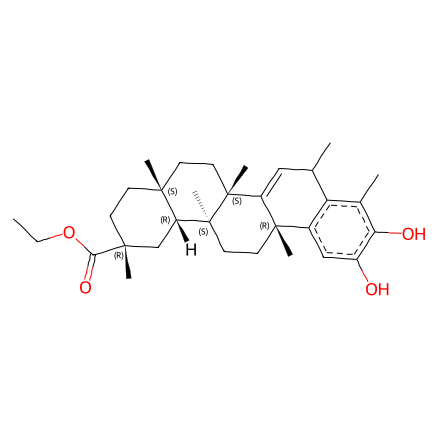 CCOC(=O)[C@]1(C)CC[C@]2(C)CC[C@]3(C)C4=CC(C)c5c(cc(O)c(O)c5C)[C@]4(C)CC[C@@]3(C)[C@@H]2C1